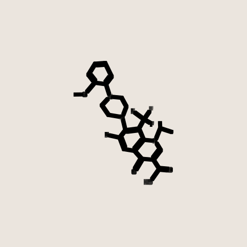 COc1ccccc1N1CCN(c2c(F)cc3c(=O)c(C(=O)O)cn(C(C)C)c3c2C(F)(F)F)CC1